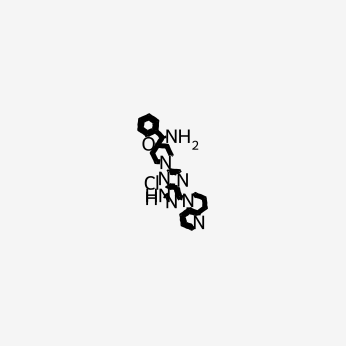 Cl.N[C@@H]1c2ccccc2OC12CCN(c1cnc3c(N4CCCc5ncccc54)n[nH]c3n1)CC2